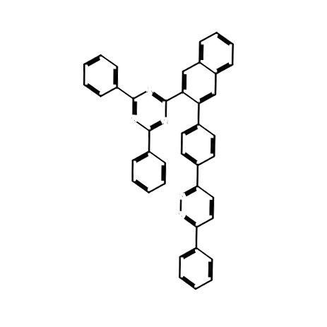 c1ccc(-c2ccc(-c3ccc(-c4cc5ccccc5cc4-c4nc(-c5ccccc5)nc(-c5ccccc5)n4)cc3)nn2)cc1